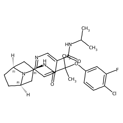 CC(C)NC(=O)c1ccc(N2[C@@H]3CC[C@H]2C[C@@H](NC(=O)C(C)(C)Oc2ccc(Cl)c(F)c2)C3)nc1